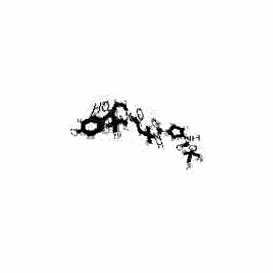 CC(C)(CC(=O)N1CC[C@](O)(c2ccc(Cl)cc2)C(C)(C)C1)NC(=O)[C@@H]1CC[C@@H](NC(=O)OC(C)(C)C)C1